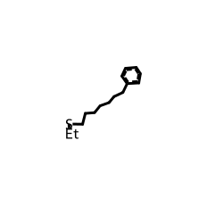 CCSCCCCCCCc1ccccc1